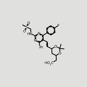 CC(C)c1nc(NCS(C)(=O)=O)nc(-c2ccc(F)cc2)c1C=CC1CC(CC(=O)O)OC(C)(C)O1